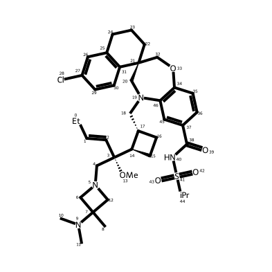 CC/C=C/[C@@](CN1CC(C)(N(C)C)C1)(OC)[C@@H]1CC[C@H]1CN1C[C@@]2(CCCc3cc(Cl)ccc32)COc2ccc(C(=O)NS(=O)(=O)C(C)C)cc21